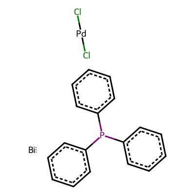 [Bi].[Cl][Pd][Cl].c1ccc(P(c2ccccc2)c2ccccc2)cc1